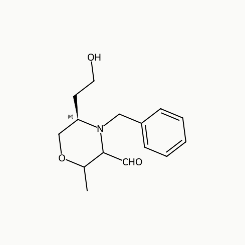 CC1OC[C@@H](CCO)N(Cc2ccccc2)C1C=O